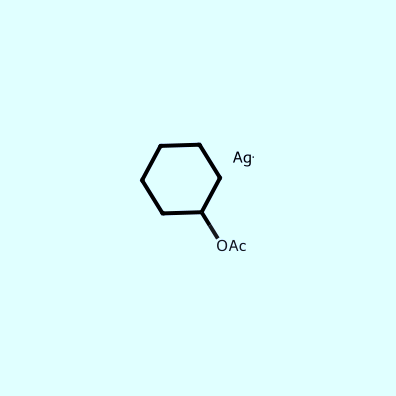 CC(=O)OC1CCCCC1.[Ag]